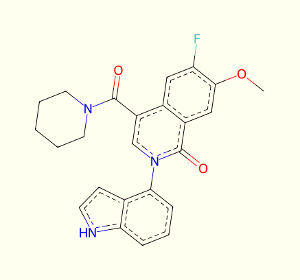 COc1cc2c(=O)n(-c3cccc4[nH]ccc34)cc(C(=O)N3CCCCC3)c2cc1F